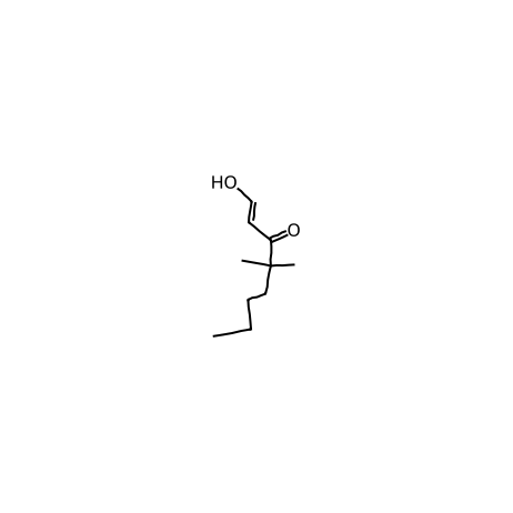 CCCCC(C)(C)C(=O)/C=C/O